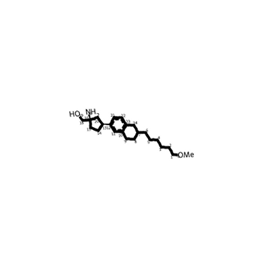 COCCCCCCC1CCc2cc([C@H]3CC[C@](N)(CO)C3)ccc2C1